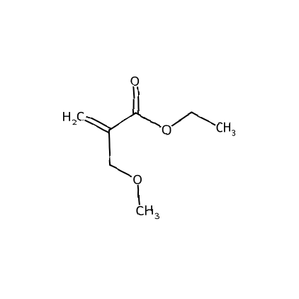 C=C(COC)C(=O)OCC